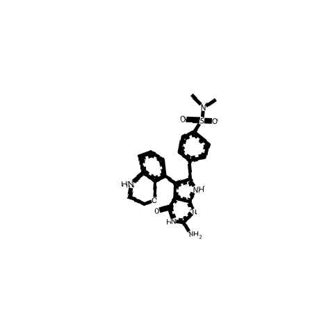 CN(C)S(=O)(=O)c1ccc(-c2[nH]c3nc(N)[nH]c(=O)c3c2-c2cccc3c2OCCN3)cc1